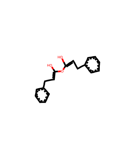 OC(=CCc1ccccc1)OC(O)=CCc1ccccc1